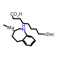 CCCCCCCCCCCCCCCCCC(=O)O.[CH3][Mg][CH]1CCc2ccccc2NC1